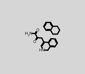 NC(=O)C(=O)CC1=CNCc2ccccc21.c1ccc2c(c1)CCCC2